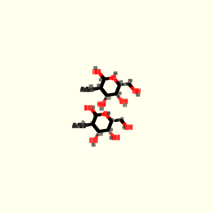 CC(=O)N[C@H]1C(O)O[C@H](CO)[C@H](O)[C@@H]1O.CC(=O)N[C@H]1C(O)O[C@H](CO)[C@H](O)[C@@H]1O